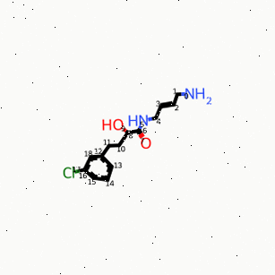 NCC=CCNC(=O)C(O)CCc1cccc(Cl)c1